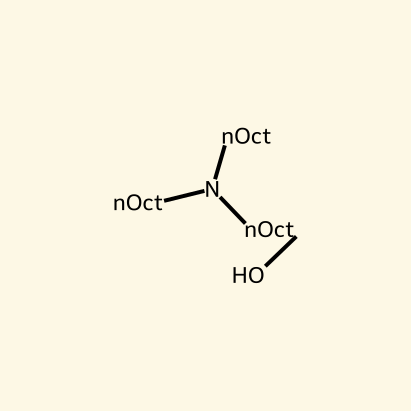 CCCCCCCCN(CCCCCCCC)CCCCCCCC.CO